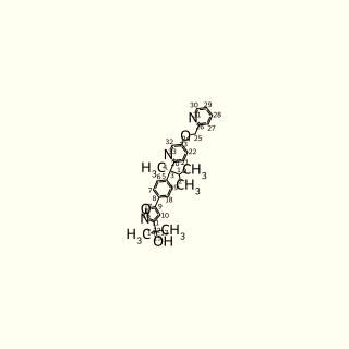 CC(C)[C@@](C)(c1ccc(-c2cc(C(C)(C)O)no2)cc1)c1ccc(OCc2ccccn2)cn1